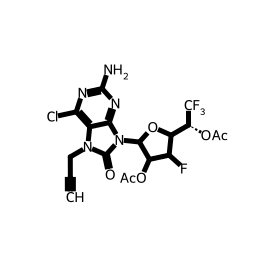 C#CCn1c(=O)n(C2OC([C@@H](OC(C)=O)C(F)(F)F)C(F)C2OC(C)=O)c2nc(N)nc(Cl)c21